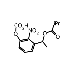 CC(C)C(=O)OC(C)c1cccc(OC(=O)O)c1[N+](=O)[O-]